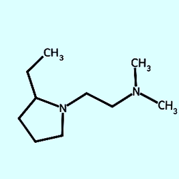 CCC1CCCN1CCN(C)C